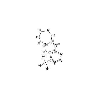 FC(F)(F)c1cccc2c1CN1CCCCCC1=N2